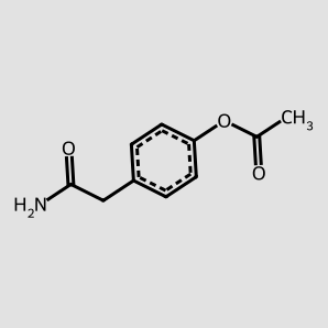 CC(=O)Oc1ccc(CC(N)=O)cc1